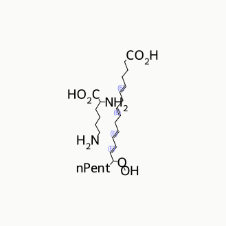 CCCCCC(/C=C/C=C/C/C=C/C/C=C/CCCC(=O)O)OO.NCCCCC(N)C(=O)O